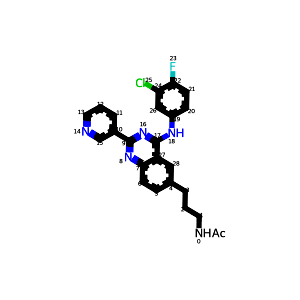 CC(=O)NCCCc1ccc2nc(-c3cccnc3)nc(Nc3ccc(F)c(Cl)c3)c2c1